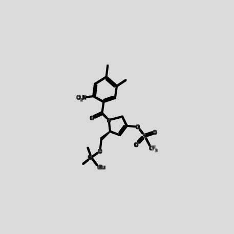 Cc1cc(C(=O)N2CC(OS(=O)(=O)C(F)(F)F)=C[C@H]2CO[Si](C)(C)C(C)(C)C)c([N+](=O)[O-])cc1C